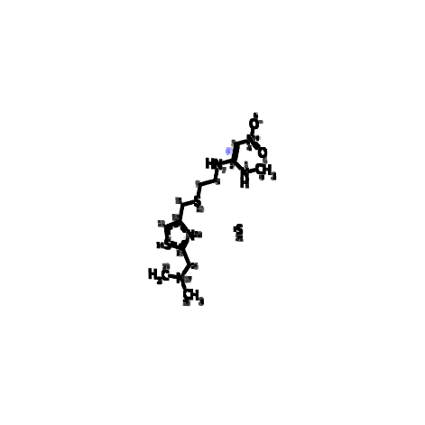 CN/C(=C\[N+](=O)[O-])NCCSCc1csc(CN(C)C)n1.[S]